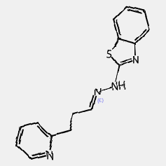 C(/CCc1ccccn1)=N\Nc1nc2ccccc2s1